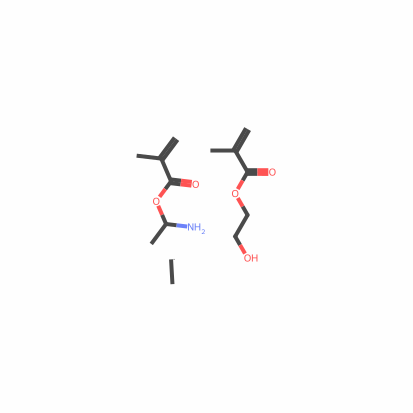 C=C(C)C(=O)OC(C)N.C=C(C)C(=O)OCCO.[CH2]C